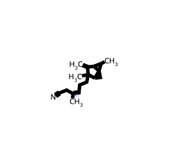 C=C1C2C(C)C23CC3C1(C)CC/C=C(/C)CC#N